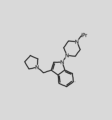 CC(C)N1CCN(n2cc(CN3CCCC3)c3cc[c]cc32)CC1